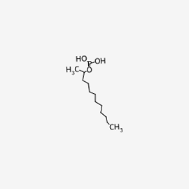 CCCCCCCCCCC(C)OP(O)O